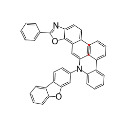 c1ccc(-c2nc3ccc4ccc(N(c5ccc6c(c5)oc5ccccc56)c5ccccc5-c5ccccc5)cc4c3o2)cc1